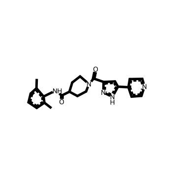 Cc1cccc(C)c1NC(=O)C1CCN(C(=O)c2cc(-c3ccncc3)[nH]n2)CC1